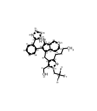 CCCCc1nn(CC(F)(F)F)c(CO)c1Cc1c2ccocc-2c(Br)c1-c1ccccc1-c1nnn[nH]1